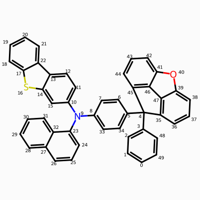 c1ccc(C2(c3ccc(N(c4ccc5c(c4)sc4ccccc45)c4cccc5ccccc45)cc3)c3cccc4oc5cccc2c5c34)cc1